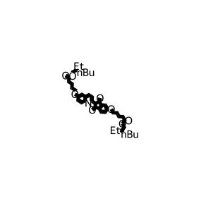 CCCCC(CC)COC(=O)CCCCOc1ccc2c(c1)C(=O)C(c1ccc3cc(OCCCCC(=O)OCC(CC)CCCC)ccc3n1)C2=O